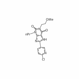 CCCn1c(=O)n(CCOC)c(=O)c2[nH]c(-c3ccc(Cl)nc3)nc21